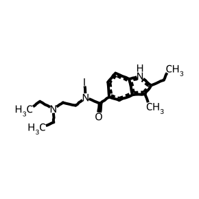 CCc1[nH]c2ccc(C(=O)N(I)CCN(CC)CC)cc2c1C